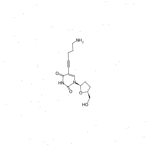 NCCCC#Cc1cn([C@H]2CC[C@@H](CO)O2)c(=O)[nH]c1=O